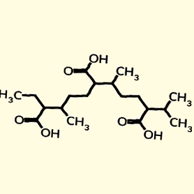 CCC(C(=O)O)C(C)CCC(C(=O)O)C(C)CCC(C(=O)O)C(C)C